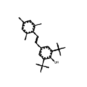 Cc1cc(C)c(/C=C/c2cc(C(C)(C)C)c(O)c(C(C)(C)C)c2)c(C)c1